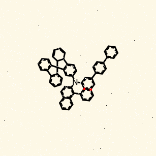 C1=CC2c3ccc(N(c4cccc(-c5ccc(-c6ccccc6)cc5)c4)c4ccc5ccccc5c4-c4ccccc4)cc3C3(c4ccccc4-c4ccccc43)C2C=C1